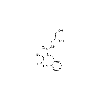 CC[C@H](C)[C@H]1C(=O)Nc2ccccc2CN1C(=O)NC[C@@H](O)CO